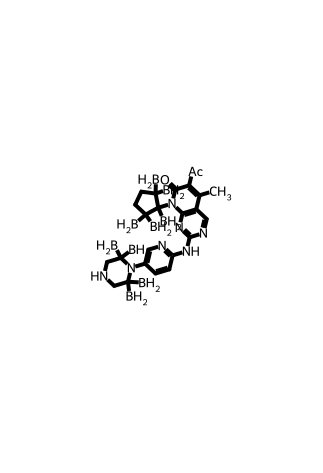 BC1(B)CNCC(B)(B)N1c1ccc(Nc2ncc3c(C)c(C(C)=O)c(=O)n(C4(B)C(B)(B)CCC4(B)B)c3n2)nc1